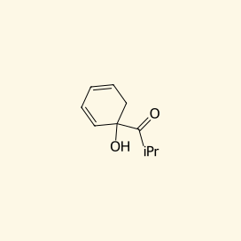 CC(C)C(=O)C1(O)C=CC=CC1